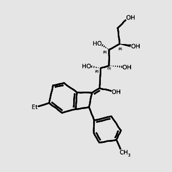 CCc1ccc2c(c1)C(c1ccc(C)cc1)C2=C(O)[C@H](O)[C@@H](O)[C@H](O)[C@H](O)CO